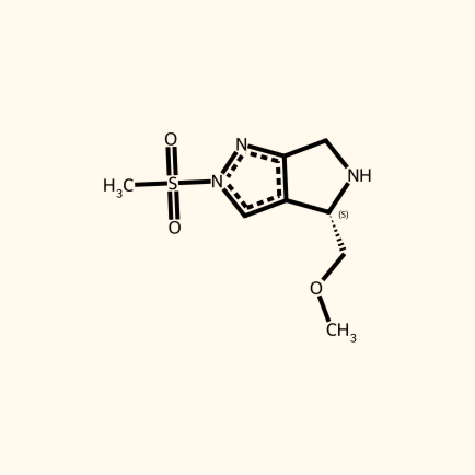 COC[C@H]1NCc2nn(S(C)(=O)=O)cc21